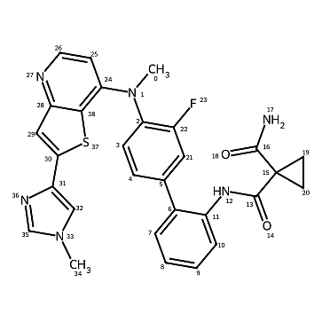 CN(c1ccc(-c2ccccc2NC(=O)C2(C(N)=O)CC2)cc1F)c1ccnc2cc(-c3cn(C)cn3)sc12